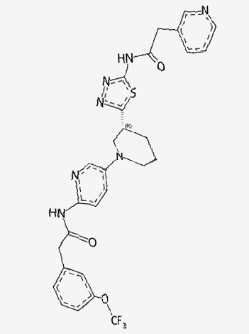 O=C(Cc1cccc(OC(F)(F)F)c1)Nc1ccc(N2CCC[C@@H](c3nnc(NC(=O)Cc4cccnc4)s3)C2)cn1